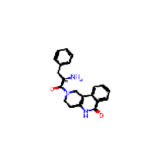 N[C@H](Cc1ccccc1)C(=O)N1CCc2[nH]c(=O)c3ccccc3c2C1